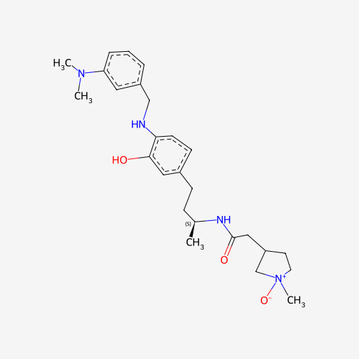 C[C@@H](CCc1ccc(NCc2cccc(N(C)C)c2)c(O)c1)NC(=O)CC1CC[N+](C)([O-])C1